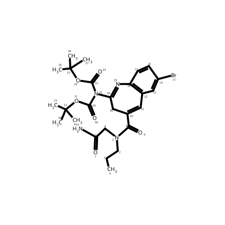 CCCN(CC(N)=O)C(=O)C1=Cc2cc(Br)ccc2N=C(N(C(=O)OC(C)(C)C)C(=O)OC(C)(C)C)C1